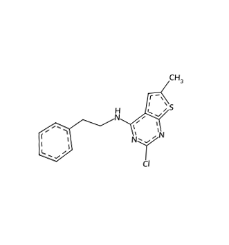 Cc1cc2c(NCCc3ccccc3)nc(Cl)nc2s1